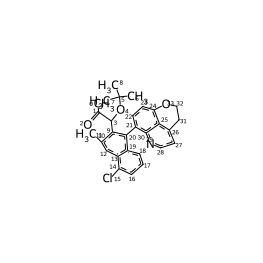 CC(=O)C(OC(C)(C)C)c1c(C)cc2c(Cl)cccc2c1-c1ccc2c3c(ccnc13)CCO2